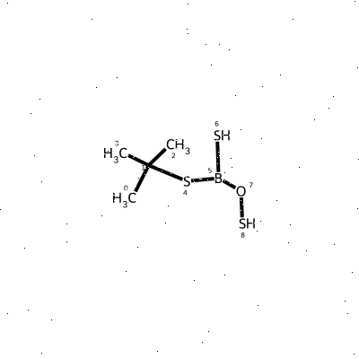 CC(C)(C)SB(S)OS